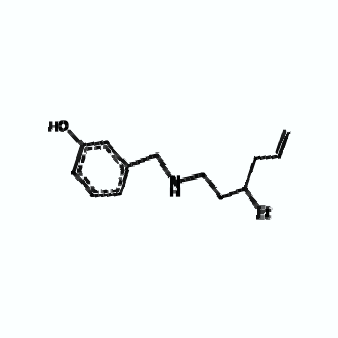 C=CCC(CC)CCNCc1cccc(O)c1